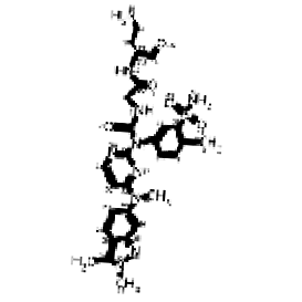 Cc1ccc(N(C(=O)NCC(=O)N[C@H](C=O)CCN)c2nccc(N(C)c3ccc4c(C)n(C)nc4c3)n2)cc1S(N)(=O)=O